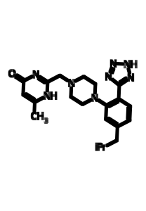 Cc1cc(=O)nc(CN2CCN(c3cc(CC(C)C)ccc3-c3nn[nH]n3)CC2)[nH]1